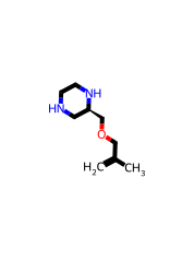 C=C(C)COC[C@H]1CNCCN1